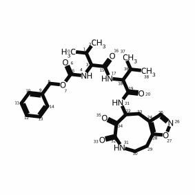 CC(C)C(NC(=O)OCc1ccccc1)C(=O)NC(C(=O)NC1Cc2cnoc2CCNC(=O)C1=O)C(C)C